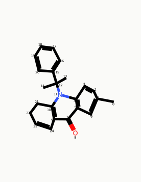 Cc1ccc2c(c1)c(=O)c1c(n2C(C)(C)c2ccccc2)CCC=C1